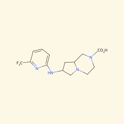 O=C(O)N1CCN2CC(Nc3cccc(C(F)(F)F)n3)CC2C1